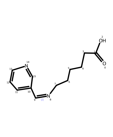 O=C(O)CCCCC/N=C\c1cccnc1